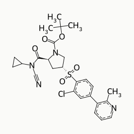 Cc1ncccc1-c1ccc(S(=O)(=O)[C@@H]2C[C@@H](C(=O)N(C#N)C3CC3)N(C(=O)OC(C)(C)C)C2)c(Cl)c1